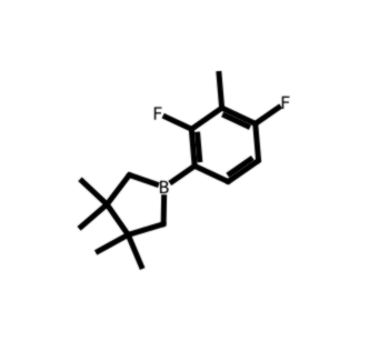 Cc1c(F)ccc(B2CC(C)(C)C(C)(C)C2)c1F